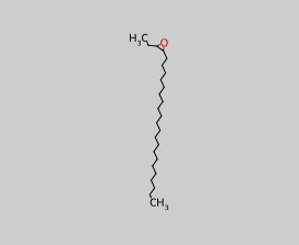 CCCCCCCCCCCCCCCCCCCCCC1OC1CC